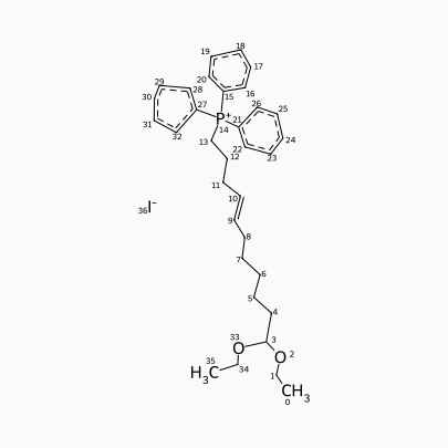 CCOC(CCCCCC=CCCC[P+](c1ccccc1)(c1ccccc1)c1ccccc1)OCC.[I-]